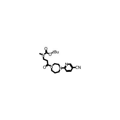 CN(CCC(=O)N1CCCN(c2ccc(C#N)cn2)CC1)C(=O)OC(C)(C)C